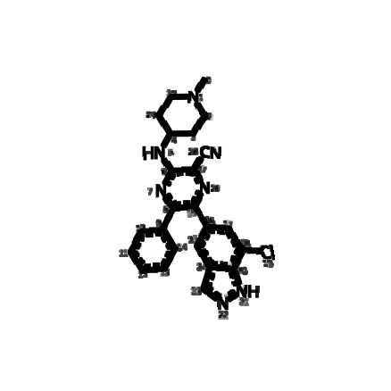 CN1CCC(Nc2nc(-c3ccccc3)c(-c3cc(Cl)c4[nH]ncc4c3)nc2C#N)CC1